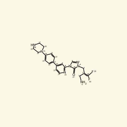 NCC(Cn1ncn(-c2cc(-c3ccc(N4CCNCC4)cc3)ccn2)c1=O)=C(F)F